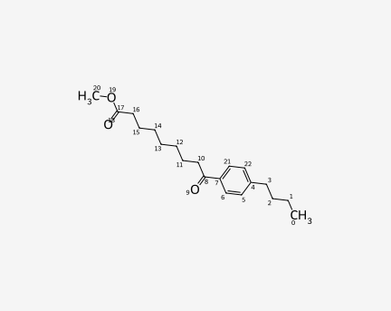 CCCCc1ccc(C(=O)CCCCCCCC(=O)OC)cc1